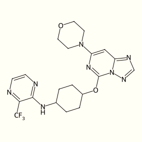 FC(F)(F)c1nccnc1NC1CCC(Oc2nc(N3CCOCC3)cc3ncnn23)CC1